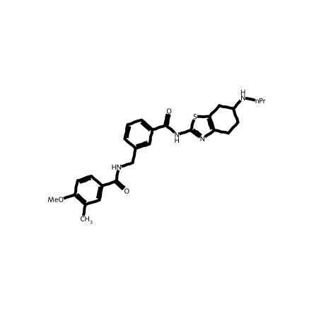 CCCNC1CCc2nc(NC(=O)c3cccc(CNC(=O)c4ccc(OC)c(C)c4)c3)sc2C1